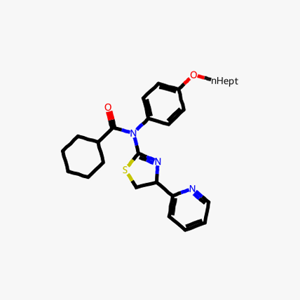 CCCCCCCOc1ccc(N(C(=O)C2CCCCC2)C2=NC(c3ccccn3)CS2)cc1